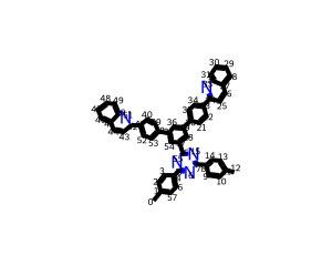 Cc1ccc(-c2nc(-c3ccc(C)cc3)nc(-c3cc(-c4ccc(-c5ccc6ccccc6n5)cc4)cc(-c4ccc(-c5ccc6ccccc6n5)cc4)c3)n2)cc1